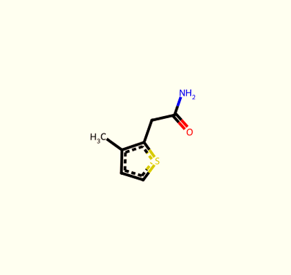 Cc1ccsc1CC(N)=O